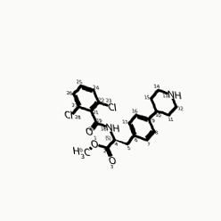 COC(=O)[C@H](Cc1ccc(C2CCNCC2)cc1)NC(=O)c1c(Cl)cccc1Cl